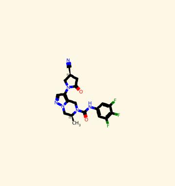 C[C@H]1Cn2ncc(N3C[C@@H](C#N)CC3=O)c2CN1C(=O)Nc1cc(F)c(F)c(F)c1